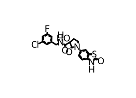 O=C(NCc1cc(F)cc(Cl)c1)C1(O)CCN(c2ccc3[nH]c(=O)sc3c2)C1=O